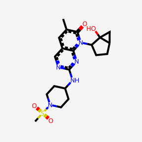 Cc1cc2cnc(NC3CCN(S(C)(=O)=O)CC3)nc2n(C2CCC3CC32O)c1=O